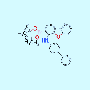 CC1(C)OB(c2ccc3c(oc4ccccc43)c2Nc2ccc(-c3ccccc3)cc2)OC1(C)C